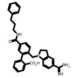 N=C(N)c1ccc2c(c1)CCN2Cc1ccc(C(=O)NCCCc2ccccc2)cc1-c1ccccc1C(=O)O